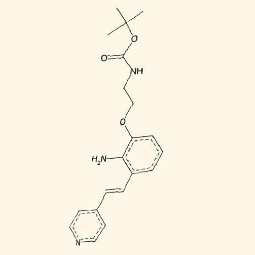 CC(C)(C)OC(=O)NCCOc1cccc(C=Cc2ccncc2)c1N